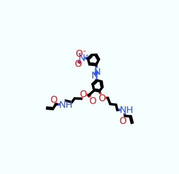 C=CC(=O)NCCCCOC(=O)c1cc(N=Nc2cccc([N+](=O)[O-])c2)ccc1OCCCCNC(=O)C=C